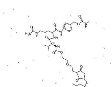 CCCC(C)(SC1CC(=O)C(CCOCCOC(=O)N[C@H](C(=O)NC(CCCNC(N)=O)C(=O)Nc2ccc(COC(=O)NC)cc2)C(C)C)C1=O)C(C)C